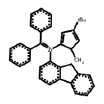 CC1C=C(C(C)(C)C)C=[C]1[Zr](=[C](c1ccccc1)c1ccccc1)[c]1cccc2c1Cc1ccccc1-2